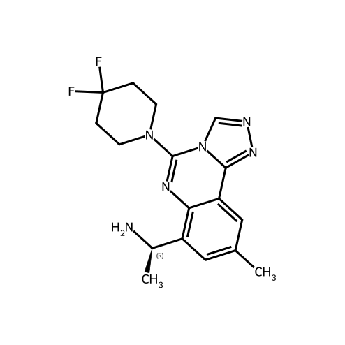 Cc1cc([C@@H](C)N)c2nc(N3CCC(F)(F)CC3)n3cnnc3c2c1